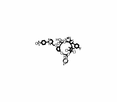 Cc1c(Cl)c2c(Cl)c(C)c1-c1c(-c3ccc(F)cc3)sc3ncnc(c13)O[C@@H](C(=O)O)Cc1cc(ccc1OCc1ccnc(-c3ccc(P(C)(C)=O)cc3)n1)OC[C@@H](CN1CCN(C)CC1)O2